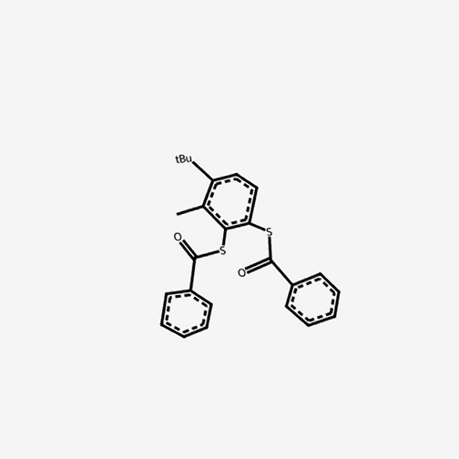 Cc1c(C(C)(C)C)ccc(SC(=O)c2ccccc2)c1SC(=O)c1ccccc1